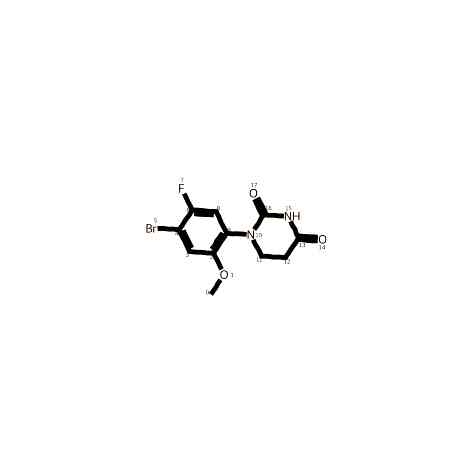 COc1cc(Br)c(F)cc1N1CCC(=O)NC1=O